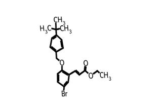 CCOC(=O)/C=C/c1cc(Br)ccc1OCc1ccc(C(C)(C)C)cc1